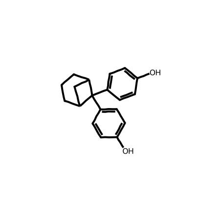 Oc1ccc(C2(c3ccc(O)cc3)C3CCCC2C3)cc1